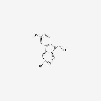 CCC(C)Cn1c2ccc(Br)cc2c2cc(Br)ncc21